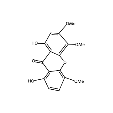 COc1cc(O)c2c(=O)c3c(O)ccc(OC)c3oc2c1OC